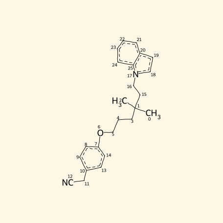 CC(C)(CCCOc1ccc(CC#N)cc1)CCn1ccc2ccccc21